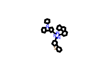 c1ccc(-n2c3ccccc3c3cc(-c4nc(-c5ccc6sc7ccccc7c6c5)nc(-c5cccc6ccc7ccccc7c56)n4)ccc32)cc1